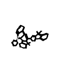 CC1(C)C2=C(C=CCC2)C2=C1C(c1ccc3c(c1)C(C)(C)c1ccccc1-3)=CC1c3ccccc3N(c3ccccc3)C21